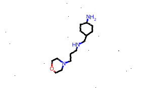 NC1CCC(CNCCCN2CCOCC2)CC1